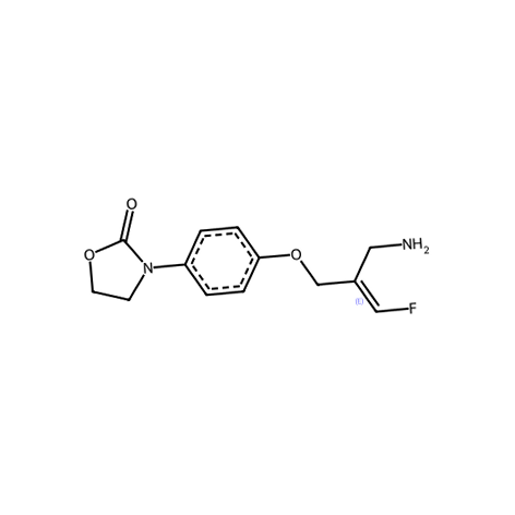 NC/C(=C\F)COc1ccc(N2CCOC2=O)cc1